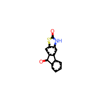 O=C1c2ccccc2-c2cc3[nH]c(=O)sc3cc21